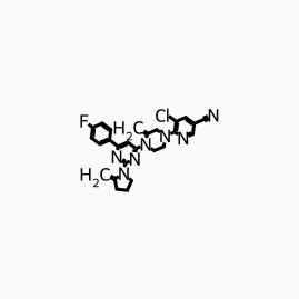 C=C1CN(c2ncc(C#N)cc2Cl)CCN1c1cc(-c2ccc(F)cc2)nc(N2CCCC2=C)n1